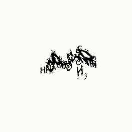 Cc1[nH]c2c(F)ccc(C)c2c1CCNC(=O)COc1cccc(C2CCNCC2)c1